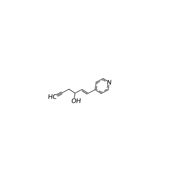 C#CCC(O)C=Cc1ccncc1